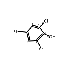 [CH2]c1cc(F)cc(Cl)c1O